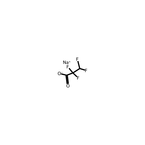 O=C([O-])C(F)(F)C(F)F.[Na+]